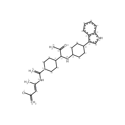 C=C(Cl)/C=C(\C)NC(=C)N1CCC(C(NC2CCC(c3c[nH]c4ccccc34)CC2)C(N)=O)CC1